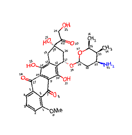 COc1cccc2c1C(=O)c1c(O)c3c(c(O)c1C2=O)C[C@@](O)(C(=O)CO)C[C@@H]3OC1C[C@H](N)[C@H](C)[C@H](C)O1